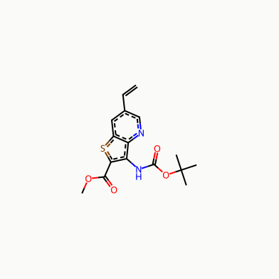 C=Cc1cnc2c(NC(=O)OC(C)(C)C)c(C(=O)OC)sc2c1